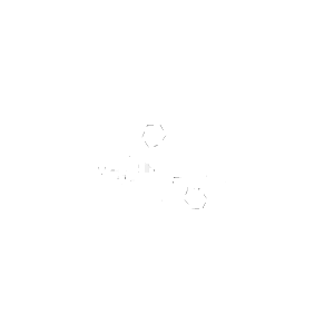 CONC(C(=O)OC)c1cccc(C)c1CO/N=C(\C)c1c(Cl)cccc1C(F)(F)F